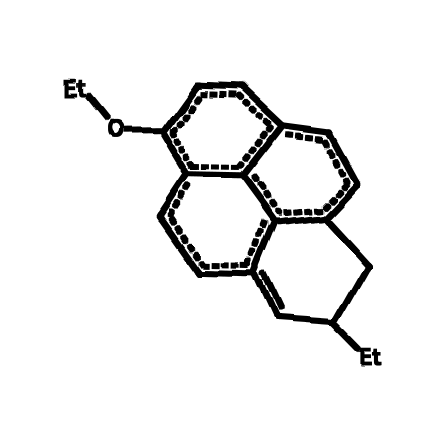 CCOc1ccc2ccc3c4c(ccc1c24)=CC(CC)C3